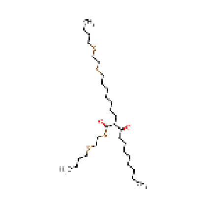 CCCCCCCCC(=O)[C@H](CCCCCCCSCCSCCCC)C(=O)SCCSCCCC